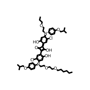 CCCCCCOCCOCCN(c1ccc(OCC(C)C)cc1)c1cc(O)c(C2=C(O)/C(=C3C=C(Cl)/C(=[N+](/CCOCCC)c4ccc(OCC(C)C)cc4)C=C\3O)C2=O)cc1Cl